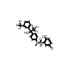 CN(c1ccc(C(O)(c2cccc(C(F)(F)F)c2)C(F)(F)F)cc1)S(=O)(=O)c1cc(Cl)ccc1Cl